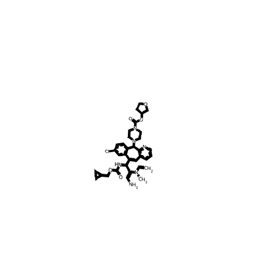 C=CN(C)/C(=C\N)C(NC(=O)OCC1CC1)C1=Cc2cccnc2C(N2CCN(C(=O)OC3CCOC3)CC2)c2ccc(Cl)cc21